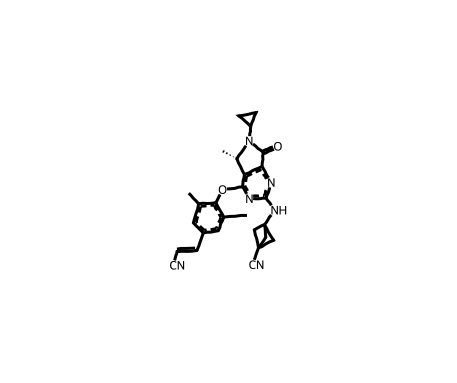 Cc1cc(/C=C/C#N)cc(C)c1Oc1nc(NC23CC(C#N)(C2)C3)nc2c1[C@H](C)N(C1CC1)C2=O